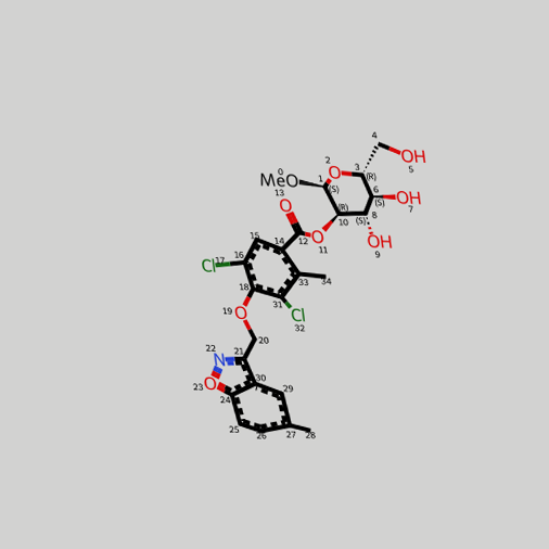 CO[C@H]1O[C@H](CO)[C@@H](O)[C@H](O)[C@H]1OC(=O)c1cc(Cl)c(OCc2noc3ccc(C)cc23)c(Cl)c1C